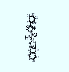 O=C(NCC[C@@H]1Cc2ccccc2CN1)C1CSC(c2ccccc2)=N1